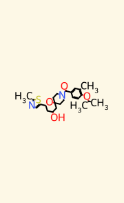 Cc1ncc(C2CC(O)CC3(CCN(C(=O)c4ccc(OC(C)C)c(C)c4)CC3)O2)s1